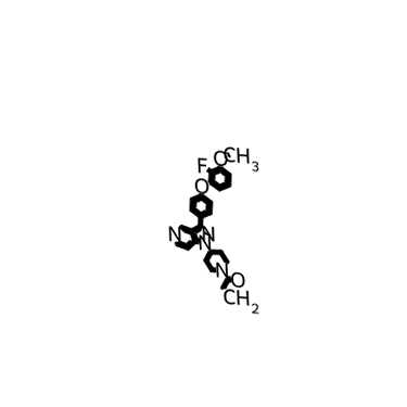 C=CC(=O)N1CCC(n2nc(-c3ccc(Oc4cccc(OC)c4F)cc3)c3cnccc32)CC1